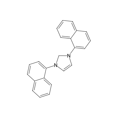 C1=CN(c2cccc3ccccc23)CN1c1cccc2ccccc12